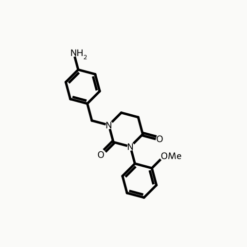 COc1ccccc1N1C(=O)CCN(Cc2ccc(N)cc2)C1=O